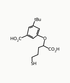 CC(C)(C)c1cc(OC(CCCS)C(=O)O)cc(C(=O)O)c1